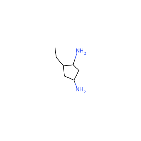 CCC1CC(N)CC1N